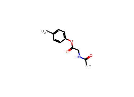 CCCC(=O)NCC(=O)Oc1ccc([N+](=O)[O-])cc1